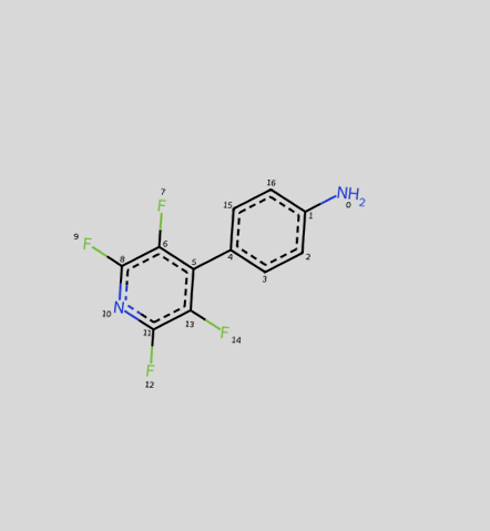 Nc1ccc(-c2c(F)c(F)nc(F)c2F)cc1